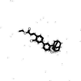 CCOC(=O)/C=C/c1ccc(-c2ccc(O)c(C34CC5CC(CC(C5)C3)C4)c2)cc1Cl